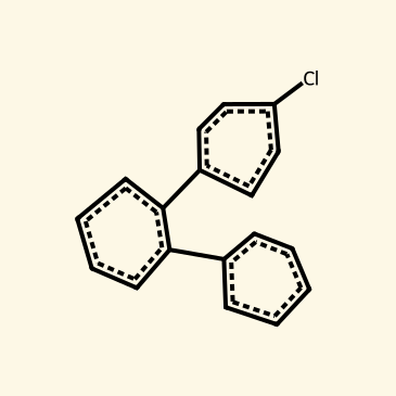 Clc1ccc(-c2ccccc2-c2ccccc2)cc1